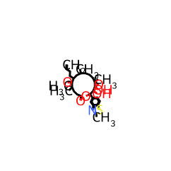 C=CCCC1CC(C)CCCC2(C)OC2(O)C(O)C(c2ccc3sc(C)nc3c2)OC(=O)CCC(C)(C)C1=O